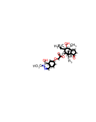 C=C[C@]1(C)C[C@@H](OC(=O)COc2ccc3c(c2)B(O)N(C(=O)O)N=C3)[C@]2(C)[C@H](C)CC[C@]3(CCC(=O)[C@H]32)[C@@H](C)[C@@H]1O